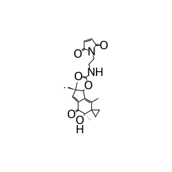 [CH2][C@]1(C)C=C2C(=O)[C@](C)(O)C3(CC3)C(C)=C2[C@@H]1OC(=O)NCCN1C(=O)C=CC1=O